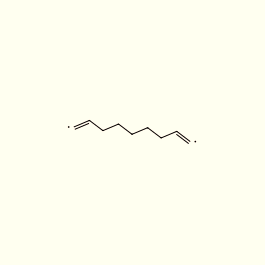 [CH]=CCCCCCC=[CH]